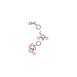 O=C[C@H]1CC[C@H](CSC2CC(=O)N(C[C@H]3CC[C@H](C(=O)ON4C(=O)CCC4=O)CC3)C2=O)CC1